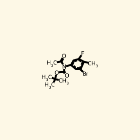 CC(=O)N(C(=O)OC(C)(C)C)c1cc(F)c(C)c(Br)c1